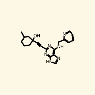 CC1CCCC(O)(C#Cc2nc(NCc3ccccn3)c3nc[nH]c3n2)C1